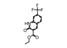 CCOC(=O)c1cc2ccc(C(F)(F)F)cc2[nH]c1=O